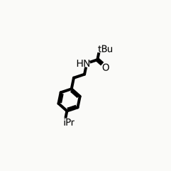 CC(C)c1ccc(CCNC(=O)C(C)(C)C)cc1